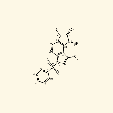 CC(C)n1c(=O)n(C)c2cnc3c(c(Br)cn3S(=O)(=O)c3ccccc3)c21